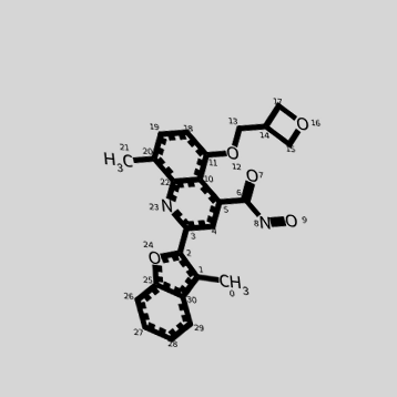 Cc1c(-c2cc(C(=O)N=O)c3c(OCC4COC4)ccc(C)c3n2)oc2ccccc12